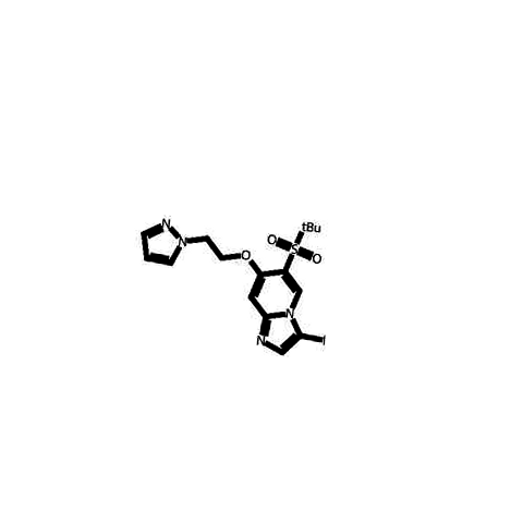 CC(C)(C)S(=O)(=O)c1cn2c(I)cnc2cc1OCCn1cccn1